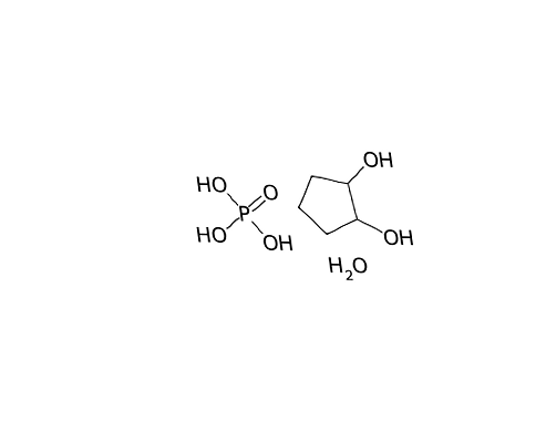 O.O=P(O)(O)O.OC1CCCC1O